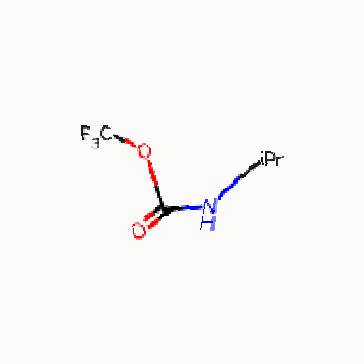 CC(C)NC(=O)OC(F)(F)F